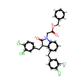 O=C(CN1C(=O)C(Cc2ccc(Cl)c(Cl)c2)c2c(Cc3ccc(Cl)c(Cl)c3)cccc21)OCc1ccccc1